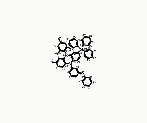 Cc1cc(C)c(B2c3cc(C)ccc3N(c3cccc(Sc4ccccc4)c3)c3ccc([Si](c4ccccc4)(c4ccccc4)c4ccccc4)cc32)c(C)c1